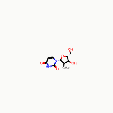 CSC1C(O)[C@@H](CO)O[C@H]1n1ccc(=O)[nH]c1=O